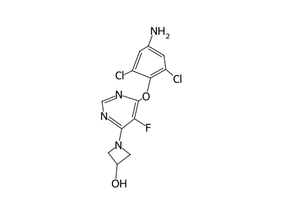 Nc1cc(Cl)c(Oc2ncnc(N3CC(O)C3)c2F)c(Cl)c1